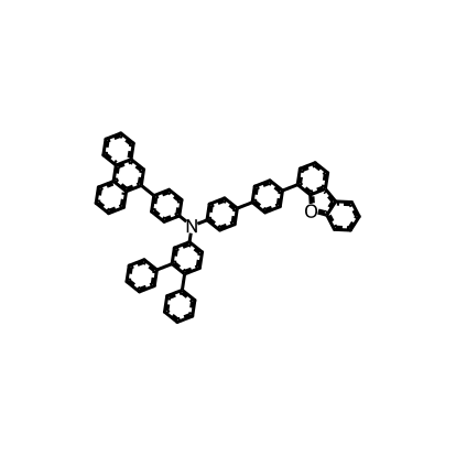 c1ccc(-c2ccc(N(c3ccc(-c4ccc(-c5cccc6c5oc5ccccc56)cc4)cc3)c3ccc(-c4cc5ccccc5c5ccccc45)cc3)cc2-c2ccccc2)cc1